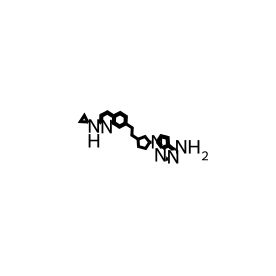 Nc1ncnc2c1ccn2C1CCC(CCc2ccc3ccc(NC4CC4)nc3c2)C1